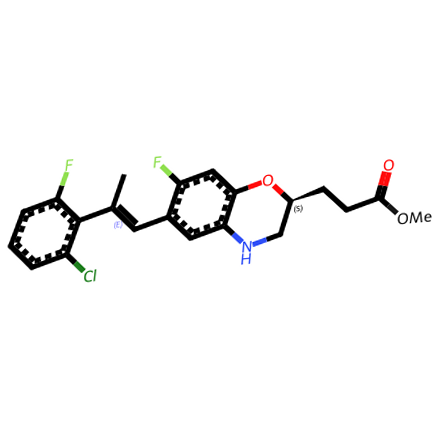 COC(=O)CC[C@H]1CNc2cc(/C=C(\C)c3c(F)cccc3Cl)c(F)cc2O1